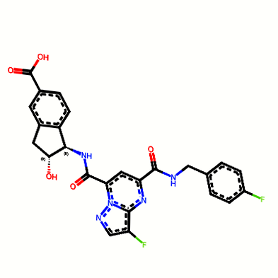 O=C(O)c1ccc2c(c1)C[C@@H](O)[C@@H]2NC(=O)c1cc(C(=O)NCc2ccc(F)cc2)nc2c(F)cnn12